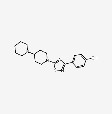 Oc1ccc(-c2nsc(N3CCC(N4CCCCC4)CC3)n2)cc1